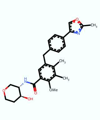 COc1c(C(=O)N[C@H]2COCC[C@@H]2O)cc(Cc2ccc(-c3coc(C)n3)cc2)c(C)c1C